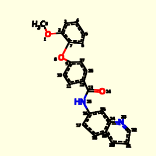 COc1ccccc1Oc1ccc(C(=O)Nc2ccc3cccnc3c2)cc1